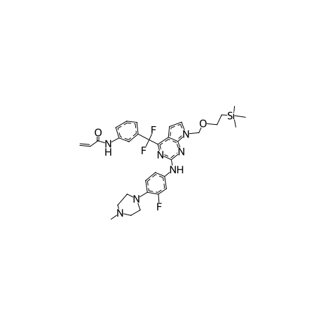 C=CC(=O)Nc1cccc(C(F)(F)c2nc(Nc3ccc(N4CCN(C)CC4)c(F)c3)nc3c2ccn3COCC[Si](C)(C)C)c1